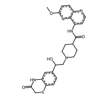 COc1ccc2nccc(NC(=O)C3CCN(CC(O)c4ccc5c(c4)NC(=O)CS5)CC3)c2n1